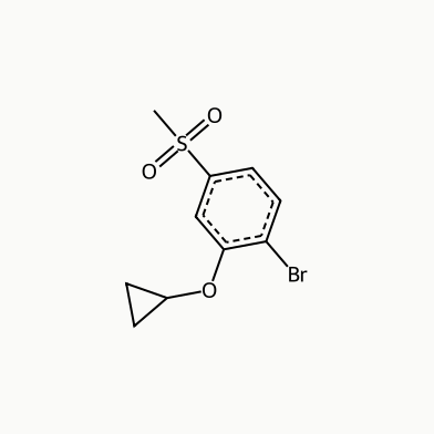 CS(=O)(=O)c1ccc(Br)c(OC2CC2)c1